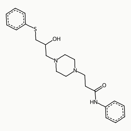 O=C(CCN1CCN(CC(O)CSc2ccccc2)CC1)Nc1ccccc1